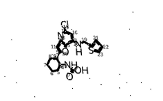 O=C(O)N[C@H]1CCCC[C@H]1c1cc2nc(Cl)cc(NCc3cccs3)c2o1